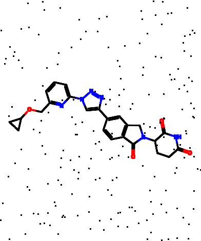 O=C1CCC(N2Cc3cc(-c4cn(-c5cccc(COC6CC6)n5)nn4)ccc3C2=O)C(=O)N1